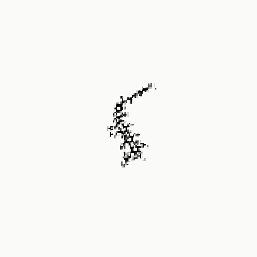 C=C1OC(OC2C(CO)OC(Oc3ccc(C(=O)NCCCNCCCCN)cc3)C2O)C(O)C(OC2OC(CO)C(OC3OC(C)C(N)C(O)C3NC(=O)C(C)N)C(O)C2O)C1O